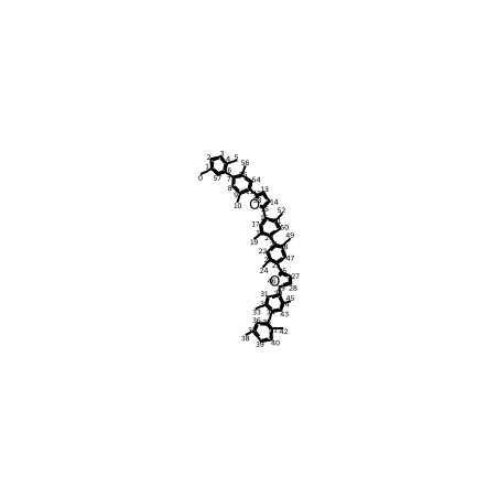 Cc1ccc(C)c(-c2cc(C)c(-c3ccc(-c4cc(C)c(-c5cc(C)c(-c6ccc(-c7cc(C)c(-c8cc(C)ccc8C)cc7C)o6)cc5C)cc4C)o3)cc2C)c1